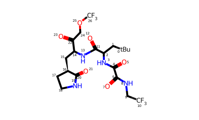 CC(C)(C)CC(NC(=O)C(=O)NCC(F)(F)F)C(=O)NC(C[C@@H]1CCNC1=O)C(=O)COC(F)(F)F